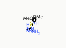 COc1ccc(NC(=S)CSc2nc(N)nc3nc[nH]c23)cc1OC